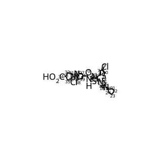 O=C(Nc1nc(-c2cc(Cl)cs2)c(N2CC3CC2CN3C2CCCC2)s1)c1cnc(N2CCC(C(=O)O)CC2)c(Cl)c1